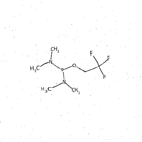 CN(C)P(OCC(F)(F)F)N(C)C